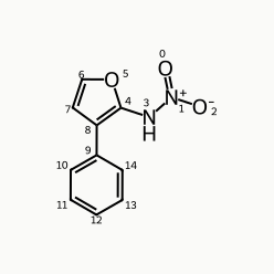 O=[N+]([O-])Nc1occc1-c1ccccc1